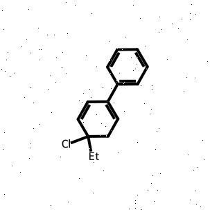 CCC1(Cl)C=CC(c2ccccc2)=CC1